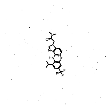 CC(C)c1cc(C(F)(F)F)cc(F)c1Nc1nccc2c1ncn2CC(=O)N(C)C